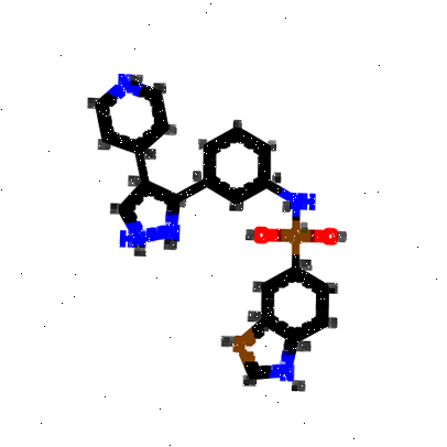 O=S(=O)(Nc1cccc(-c2n[nH]cc2-c2ccncc2)c1)c1ccc2ncsc2c1